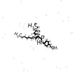 CCCCCCn1cc(C(=O)Nc2ccc(CCO)cc2)nc1CC(=O)OCC